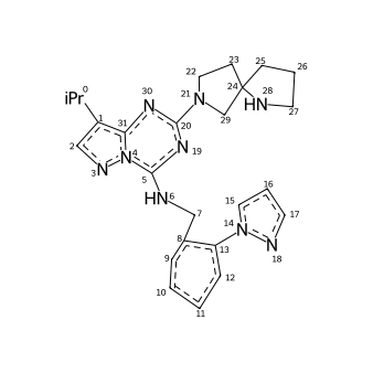 CC(C)c1cnn2c(NCc3ccccc3-n3cccn3)nc(N3CCC4(CCCN4)C3)nc12